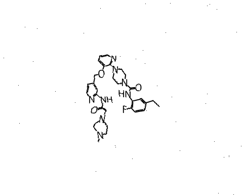 CCc1ccc(F)c(NC(=O)N2CCN(c3ncccc3OCc3ccnc(NC(=O)CN4CCN(C)CC4)c3)CC2)c1